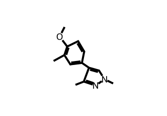 COc1ccc(-c2cn(C)nc2C)cc1C